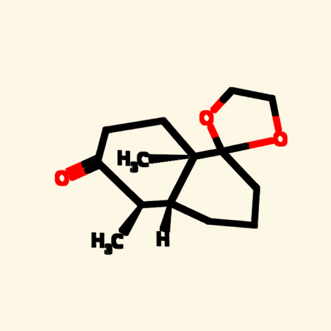 C[C@H]1C(=O)CC[C@]2(C)[C@@H]1CCCC21OCCO1